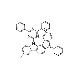 Cc1ccc2c(c1)c1c(ccc3c4cc(C)ccc4n(-c4nc(-c5ccccc5)nc(-c5ccccc5)n4)c31)n2-c1ccccc1